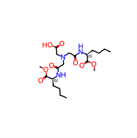 CCCC[C@H](NC(=O)CN(CC(=O)O)CC(=O)N[C@@H](CCCC)C(=O)OC)C(=O)OC